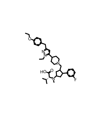 CCOc1ccc(Cc2cc(C3CCN(CC4CC(N(C)[C@@H](C(=O)O)C(C)C)CC4c4cccc(F)c4)CC3)n(CC)n2)cc1